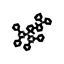 Cc1c(-c2cccc(N(c3nc(-c4ccccc4)nc(-c4ccccc4)n3)c3nc(-c4ccccc4)nc(-c4ccccc4)n3)c2C)cccc1N(c1ccccc1)c1ccccc1